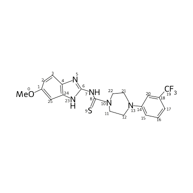 COc1ccc2nc(NC(=S)N3CCN(c4cccc(C(F)(F)F)c4)CC3)[nH]c2c1